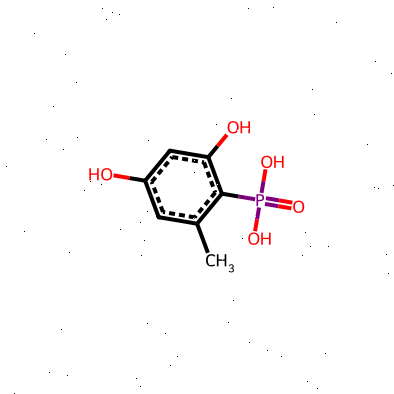 Cc1cc(O)cc(O)c1P(=O)(O)O